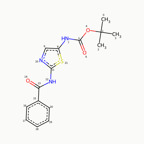 CC(C)(C)OC(=O)Nc1cnc(NC(=O)c2ccccc2)s1